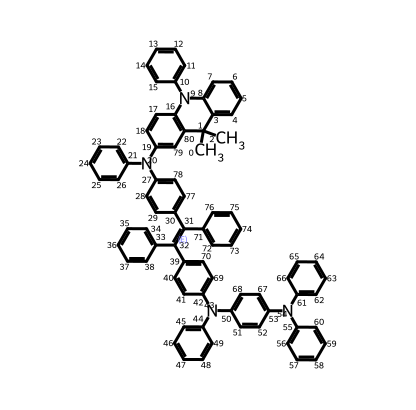 CC1(C)c2ccccc2N(c2ccccc2)c2ccc(N(c3ccccc3)c3ccc(/C(=C(\c4ccccc4)c4ccc(N(c5ccccc5)c5ccc(N(c6ccccc6)c6ccccc6)cc5)cc4)c4ccccc4)cc3)cc21